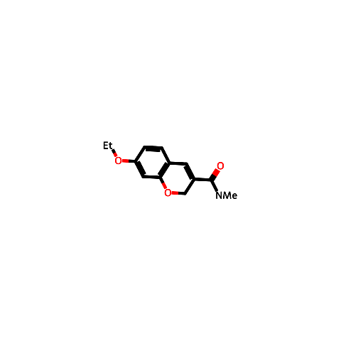 CCOc1ccc2c(c1)OCC(C(=O)NC)=C2